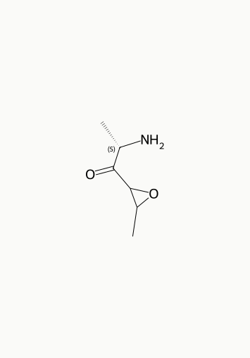 CC1OC1C(=O)[C@H](C)N